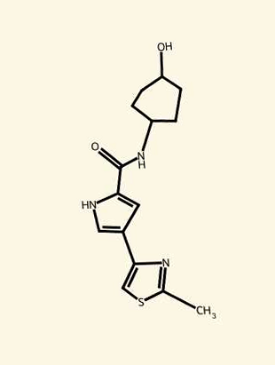 Cc1nc(-c2c[nH]c(C(=O)NC3CCC(O)CC3)c2)cs1